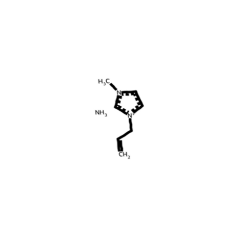 C=CC[n+]1ccn(C)c1.N